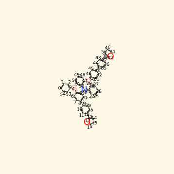 c1ccc(B2c3ccc(-c4ccc(-c5ccco5)cc4)cc3N3c4ccccc4B(c4ccc(-c5ccc(-c6ccco6)cc5)cc4)c4cccc2c43)cc1